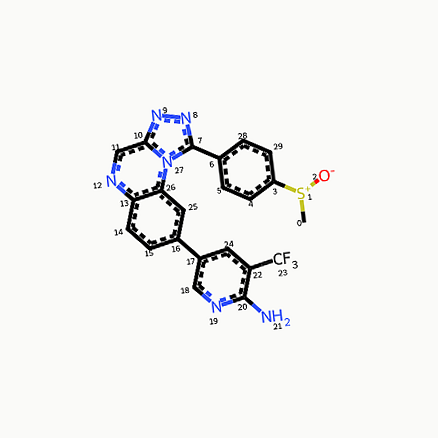 C[S+]([O-])c1ccc(-c2nnc3cnc4ccc(-c5cnc(N)c(C(F)(F)F)c5)cc4n23)cc1